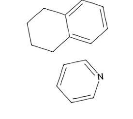 c1ccc2c(c1)CCCC2.c1ccncc1